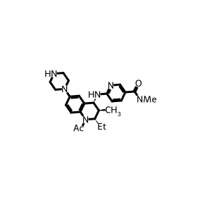 CC[C@H]1[C@H](C)[C@@H](Nc2ccc(C(=O)NC)cn2)c2cc(N3CCNCC3)ccc2N1C(C)=O